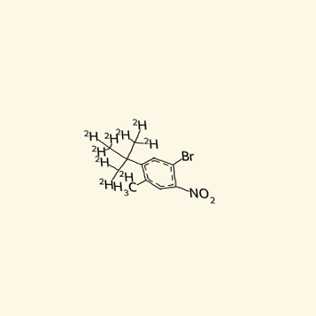 [2H]C([2H])([2H])C(c1cc(Br)c([N+](=O)[O-])cc1C)(C([2H])([2H])[2H])C([2H])([2H])[2H]